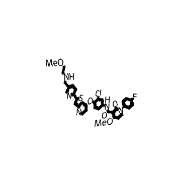 COCCNCc1ccc(-c2cc3nccc(Oc4ccc(NC(=O)c5c(OC)ccn(-c6ccc(F)cc6)c5=O)cc4Cl)c3s2)nc1